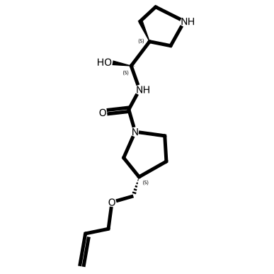 C=CCOC[C@H]1CCN(C(=O)N[C@@H](O)[C@H]2CCNC2)C1